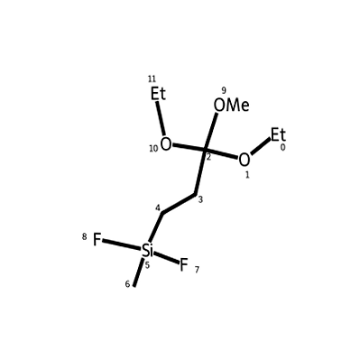 CCOC(CC[Si](C)(F)F)(OC)OCC